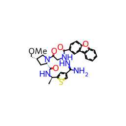 COC[C@H]1C[C@@H](C(=O)N[C@H](C)c2cc(C(=N)N)cs2)N(C(=O)CNC(=O)c2ccc3oc4ccccc4c3c2)C1